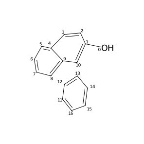 Oc1ccc2ccccc2c1.c1ccccc1